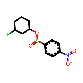 O=[N+]([O-])c1ccc(S(=O)OC2CCCC(F)C2)cc1